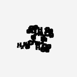 COc1cc(-c2c3nc(c(-c4cc(OC)c(OC)c(OC)c4)c4ccc([nH]4)c(-c4cc(OC)c(OC)c(OC)c4)c4nc(c(-c5ccc(C(N)=O)cc5)c5ccc2[nH]5)C=C4)C=C3)cc(OC)c1OC